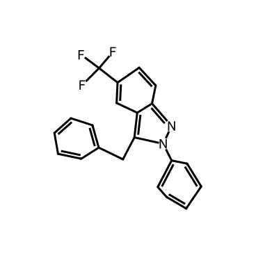 FC(F)(F)c1ccc2nn(-c3ccccc3)c(Cc3ccccc3)c2c1